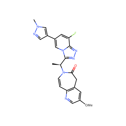 COc1cnc2c(c1)CC(=O)N([C@@H](C)c1nnc3c(F)cc(-c4cnn(C)c4)cn13)C=C2